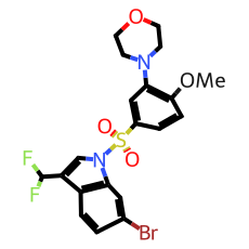 COc1ccc(S(=O)(=O)n2cc(C(F)F)c3ccc(Br)cc32)cc1N1CCOCC1